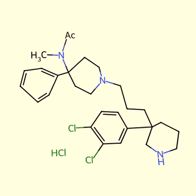 CC(=O)N(C)C1(c2ccccc2)CCN(CCCC2(c3ccc(Cl)c(Cl)c3)CCCNC2)CC1.Cl